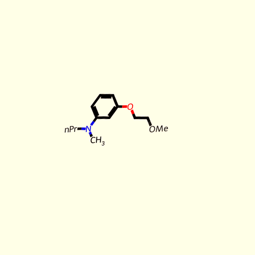 CCCN(C)c1cccc(OCCOC)c1